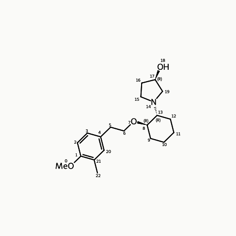 COc1ccc(CCO[C@@H]2CCCC[C@H]2N2CC[C@@H](O)C2)cc1C